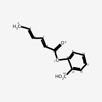 CC=CC=CC(=O)Oc1ccccc1C(=O)O